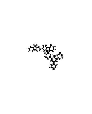 CC1(C)c2ccccc2-c2ccc(-c3ccc4c5ccccc5n(-c5cccc(-c6nc(-c7ccccc7)nc(-c7ccccc7)n6)c5)c4c3)cc21